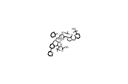 CC(C)(O)c1cccc(CN2CCN([C@H](C(=O)N[C@@H](Cc3ccccc3)[C@@H](O)CN(Cc3ccc(-c4ccccn4)cc3)NC(=O)[C@@H](NC(=O)O)C(C)(C)C)C(C)(C)C)C2=O)n1